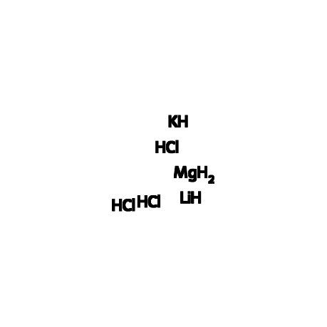 Cl.Cl.Cl.[KH].[LiH].[MgH2]